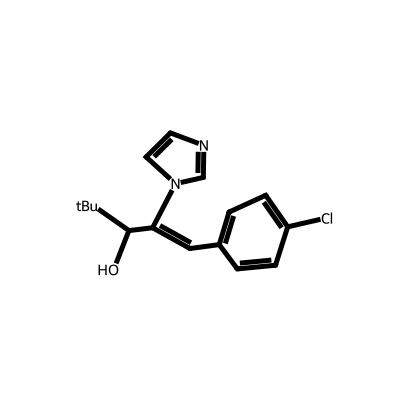 CC(C)(C)C(O)C(=Cc1ccc(Cl)cc1)n1ccnc1